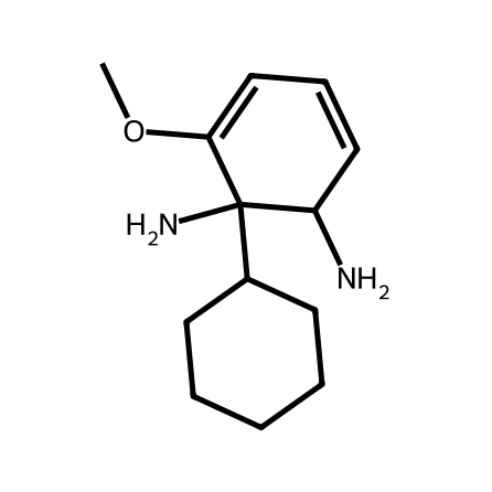 COC1=CC=CC(N)C1(N)C1CCCCC1